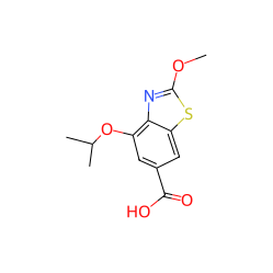 COc1nc2c(OC(C)C)cc(C(=O)O)cc2s1